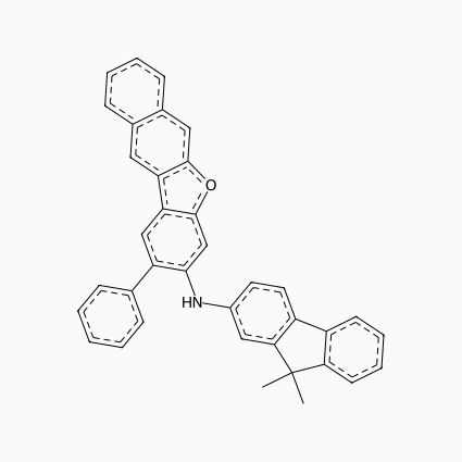 CC1(C)c2ccccc2-c2ccc(Nc3cc4oc5cc6ccccc6cc5c4cc3-c3ccccc3)cc21